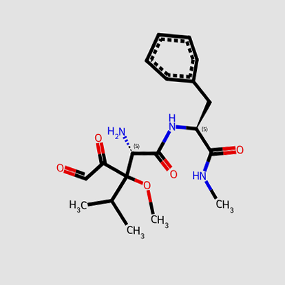 CNC(=O)[C@H](Cc1ccccc1)NC(=O)[C@@H](N)C(OC)(C(=O)C=O)C(C)C